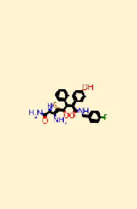 NC(=O)c1nsc(C(=O)C(c2ccccc2)C(C(=O)NCc2ccc(F)cc2)c2ccc(O)cc2)c1N